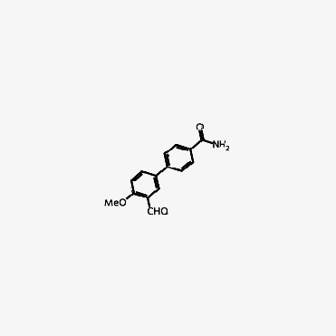 COc1ccc(-c2ccc(C(N)=O)cc2)cc1C=O